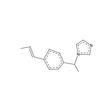 [CH2]/C=C/c1ccc(C(C)n2ccnc2)cc1